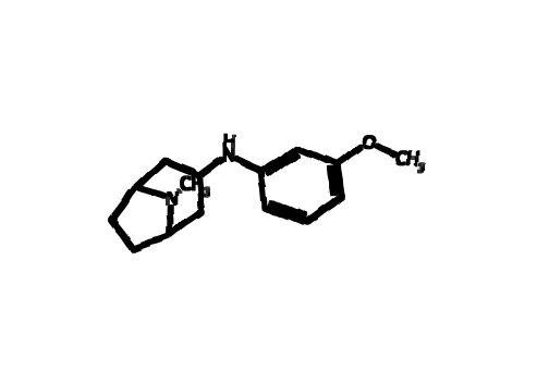 COc1cccc(NC2CC3CCC(C2)N3C)c1